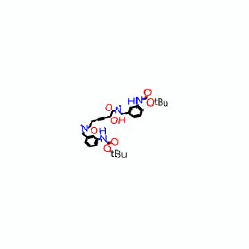 CN(Cc1cccc(NC(=O)OC(C)(C)C)c1)C(=O)CC#CC(O)C(=O)N(C)Cc1cccc(NC(=O)OC(C)(C)C)c1